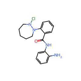 Nc1ccccc1NC(=O)c1ccccc1N1CCCCCN1Cl